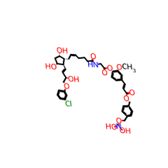 COc1cc(/C=C/C(=O)OCc2ccc(CON(O)O)cc2)ccc1OC(=O)CNC(=O)CCC/C=C\C[C@@H]1[C@@H](/C=C/[C@@H](O)COc2cccc(Cl)c2)[C@H](O)C[C@@H]1O